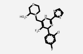 O=C(O)C1COCCN1CC1=C(C(F)(F)F)C(c2ccc(F)cc2Cl)N=C(c2nccs2)N1